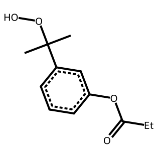 CCC(=O)Oc1cccc(C(C)(C)OO)c1